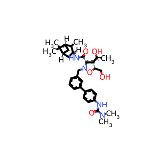 CC1[C@@H](NC(=O)[C@@H]2[C@H]([C@H](C)O)C(CO)ON2Cc2cccc(-c3ccc(NC(=O)N(C)C)cc3)c2)C[C@@H]2C[C@H]1C2(C)C